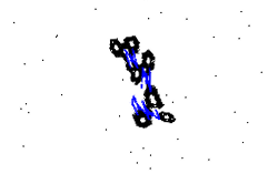 c1ccc(-n2c(-c3cccc(-n4c5ccccc5c5c4ccc4cc6c7ccccc7c7ccccc7n6c45)c3)nc3ccccc32)cc1